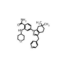 CC1(C)CCc2c(Cc3ccncc3)nn(-c3ccc(C(N)=O)c(NC4CCOCC4)c3)c2C1